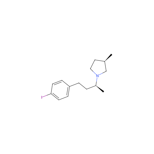 C[C@@H]1CCN([C@@H](C)CCc2ccc(I)cc2)C1